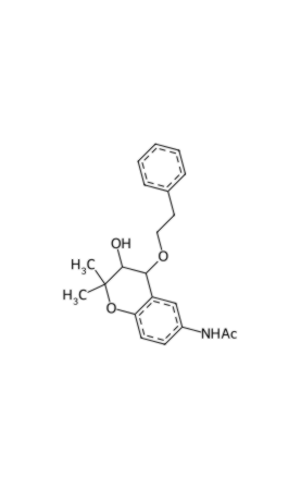 CC(=O)Nc1ccc2c(c1)C(OCCc1ccccc1)C(O)C(C)(C)O2